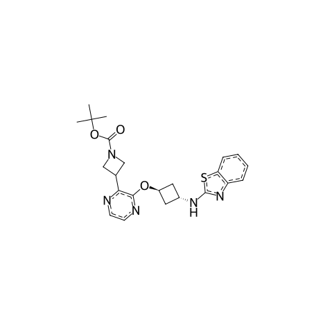 CC(C)(C)OC(=O)N1CC(c2nccnc2O[C@H]2C[C@H](Nc3nc4ccccc4s3)C2)C1